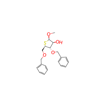 CO[C@@H]1S[C@H](COCc2ccccc2)[C@@H](OCc2ccccc2)[C@@H]1O